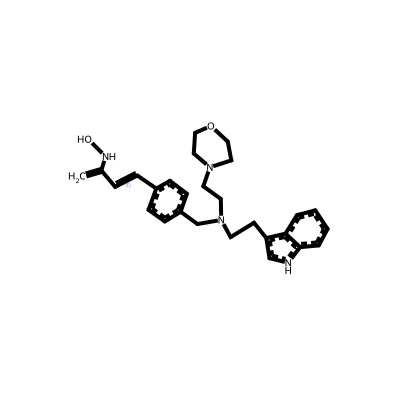 C=C(/C=C/c1ccc(CN(CCc2c[nH]c3ccccc23)CCN2CCOCC2)cc1)NO